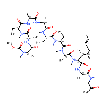 C/C=C/C[C@@H](C)[C@@H](C)[C@@H](C(=O)N[C@@H](CC)C(=O)N(C)CC(=O)OC)N(C)C(=O)[C@H](C(C)C)N(C)C(=O)[C@H](CC(C)C)N(C)C(=O)[C@H](CC(C)C)N(C)C(=O)[C@@H](C)NC(=O)[C@H](C)NC(=O)[C@H](CC(C)C)N(C)C(=O)[C@@H](NC(=O)[C@H](C(C)C)N(C)C(=O)OC(C)(C)C)C(C)C